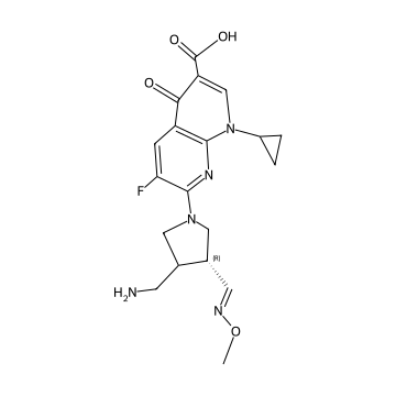 CON=C[C@H]1CN(c2nc3c(cc2F)c(=O)c(C(=O)O)cn3C2CC2)CC1CN